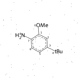 COc1cc(C(C)(C)C)ccc1N